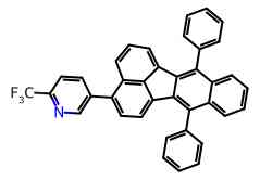 FC(F)(F)c1ccc(-c2ccc3c4c(cccc24)-c2c-3c(-c3ccccc3)c3ccccc3c2-c2ccccc2)cn1